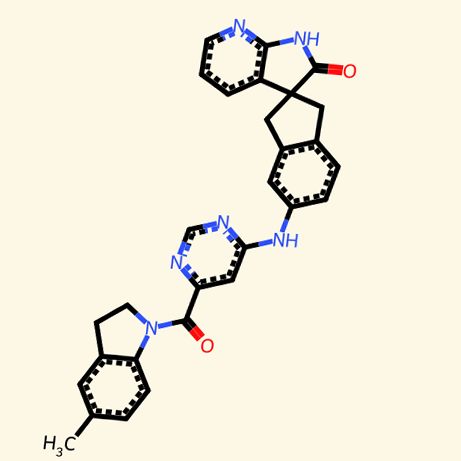 Cc1ccc2c(c1)CCN2C(=O)c1cc(Nc2ccc3c(c2)CC2(C3)C(=O)Nc3ncccc32)ncn1